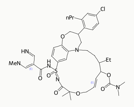 CCCc1cc(Cl)ccc1C1COc2ccc3cc2N(CCC(CC)C(OC(=O)N(C)C)/C=C/COC(C)(C)C(=O)N=S3(=O)NC(=O)/C(C=N)=C/NC)C1